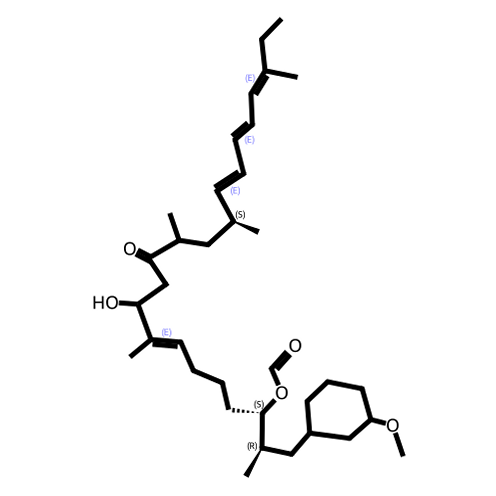 CC/C(C)=C/C=C/C=C/[C@@H](C)CC(C)C(=O)CC(O)/C(C)=C/CCC[C@H](OC=O)[C@H](C)CC1CCCC(OC)C1